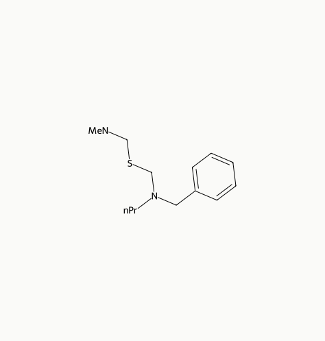 CCCN(CSCNC)Cc1ccccc1